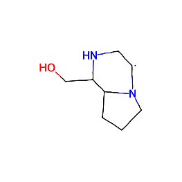 OCC1NC[CH]N2CCCC12